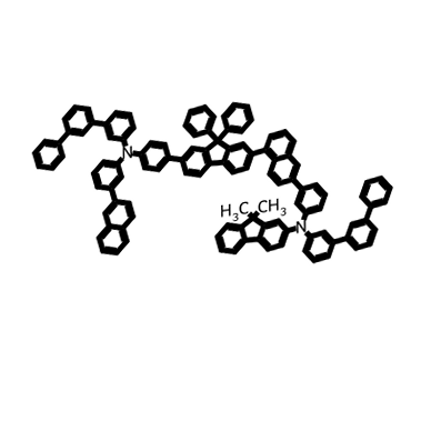 CC1(C)c2ccccc2-c2ccc(N(c3cccc(-c4cccc(-c5ccccc5)c4)c3)c3cccc(-c4ccc5c(-c6ccc7c(c6)C(c6ccccc6)(c6ccccc6)c6cc(-c8ccc(N(c9cccc(-c%10cccc(-c%11ccccc%11)c%10)c9)c9cccc(-c%10ccc%11ccccc%11c%10)c9)cc8)ccc6-7)cccc5c4)c3)cc21